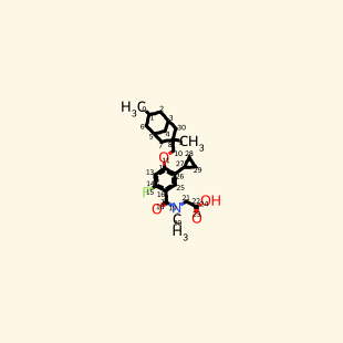 CC1CC2CC(C1)CC(C)(COc1cc(F)c(C(=O)N(C)CC(=O)O)cc1C1CC1)C2